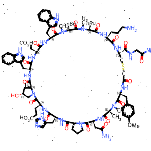 CCCC[C@H]1C(=O)N(C)[C@@H](CCCC)C(=O)N[C@@H](CCCN)C(=O)N[C@H](C(=O)NCC(N)=O)CSCC(=O)N[C@@H](Cc2ccc(OC)cc2)C(=O)N(C)[C@@H](C)C(=O)N[C@@H](CC(N)=O)C(=O)N2CCCC2C(=O)N[C@@H](Cc2cnc[nH]2)C(=O)N[C@@H](CCC(=O)O)C(=O)N2C[C@H](O)C[C@H]2C(=O)N[C@@H](Cc2c[nH]c3ccccc23)C(=O)N[C@@H](CC(=O)O)C(=O)N[C@@H](Cc2c[nH]c3ccccc23)C(=O)N1C